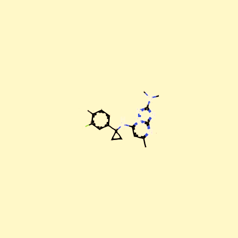 Cc1cc(NC2(c3ccc(C(F)(F)F)c(F)c3)CC2)n2nc(N(C)C)nc2n1